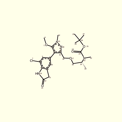 COc1c(-c2cc(Cl)c3c(c2)CC(=O)N3)c(COC[C@@H](C)N(C)C(=O)OC(C)(C)C)nn1C